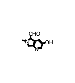 CN1Cc2ncc(O)cc2C1C=O